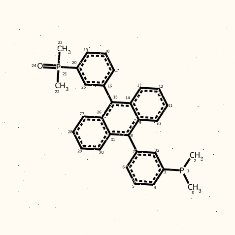 CP(C)c1cccc(-c2c3ccccc3c(-c3cccc(P(C)(C)=O)c3)c3ccccc23)c1